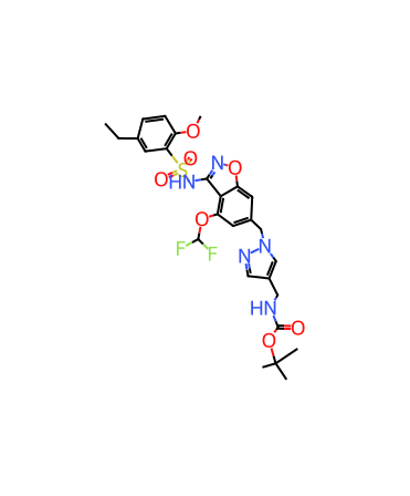 CCc1ccc(OC)c(S(=O)(=O)Nc2noc3cc(Cn4cc(CNC(=O)OC(C)(C)C)cn4)cc(OC(F)F)c23)c1